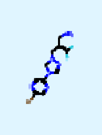 NCC(CN1CN(c2cnc(Br)cn2)C=N1)=C(F)F